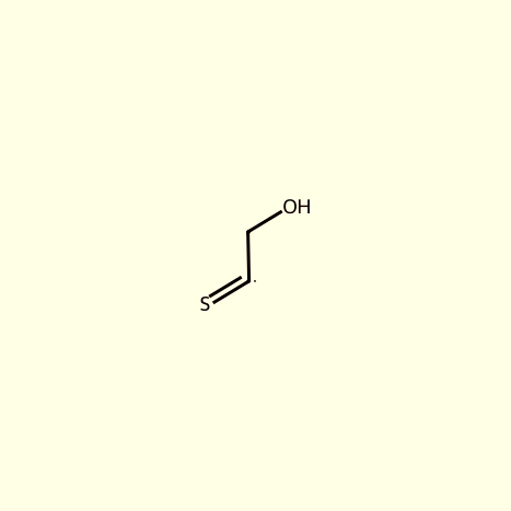 OC[C]=S